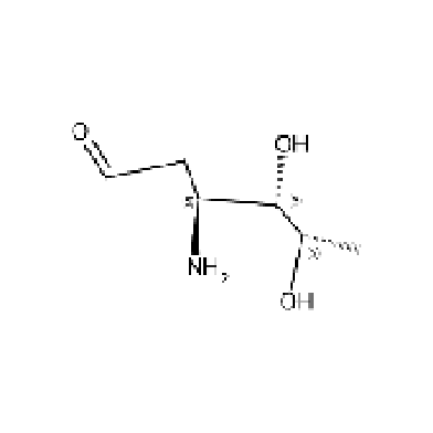 C[C@H](O)[C@@H](O)[C@@H](N)CC=O